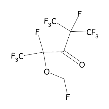 O=C(C(F)(OCF)C(F)(F)F)C(F)(C(F)(F)F)C(F)(F)F